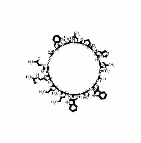 CCCC[C@H]1C(=O)N(C)[C@@H](CCCC)C(=O)N[C@@H](CCCNC(=N)N)C(=O)N[C@H](C(=O)NCC(N)=O)CSCC(=O)N[C@@H](Cc2ccccc2)C(=O)N(C)[C@@H](C)C(=O)N[C@@H](CC(N)=O)C(=O)N2CCC[C@@]2(C)C(=O)N[C@@H](Cc2cnc[nH]2)C(=O)N[C@@H](CC(C)C)C(=O)N(C)CC(O)N[C@@H](Cc2c[nH]c3ccccc23)C(=O)N[C@@H](CO)C(=O)N[C@@H](Cc2c[nH]c3ccccc23)C(=O)N1C